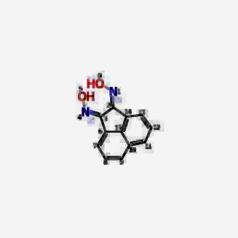 O/N=C1\C(=N/O)c2cccc3cccc1c23